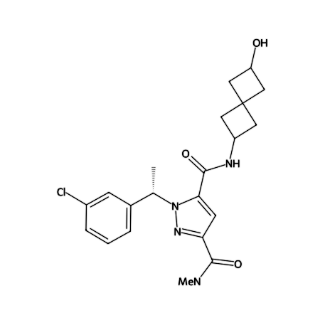 CNC(=O)c1cc(C(=O)NC2CC3(CC(O)C3)C2)n([C@@H](C)c2cccc(Cl)c2)n1